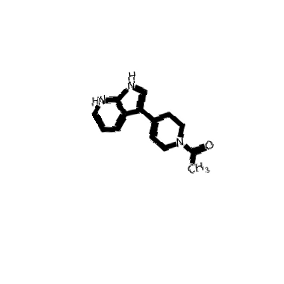 CC(=O)N1CC=C(C2=CNC3NC=CC=C23)CC1